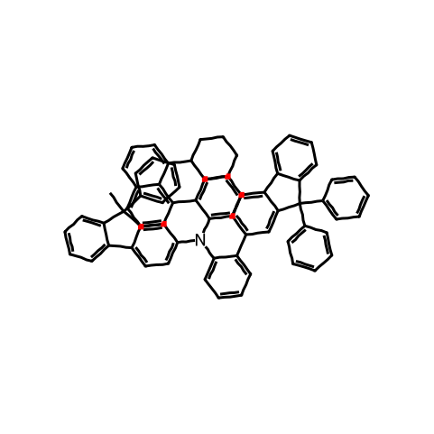 CC1(c2ccccc2)c2ccccc2-c2ccc(N(c3ccccc3-c3ccc4c(c3)C(c3ccccc3)(c3ccccc3)c3ccccc3-4)c3ccccc3-c3cccc4cccc(C5CCCCC5)c34)cc21